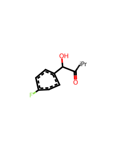 CC(C)C(=O)C(O)c1ccc(F)cc1